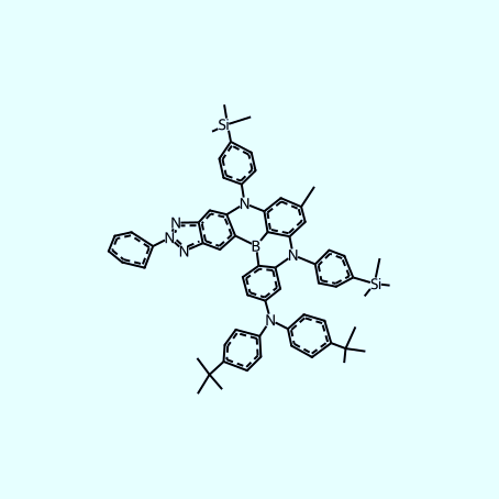 Cc1cc2c3c(c1)N(c1ccc([Si](C)(C)C)cc1)c1cc4nn(-c5ccccc5)nc4cc1B3c1ccc(N(c3ccc(C(C)(C)C)cc3)c3ccc(C(C)(C)C)cc3)cc1N2c1ccc([Si](C)(C)C)cc1